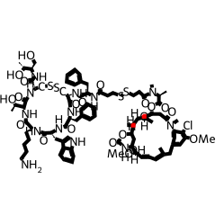 COc1cc2cc(c1Cl)N(C)C(=O)CC1(OC(=O)[C@H](C)N(C)C(=O)CCSSCCC(=O)N[C@H](Cc3ccccc3)C(=O)N[C@H]3CSSC[C@@H](C(=O)N[C@H](CO)[C@@H](C)O)NC(=O)[C@H]([C@@H](C)O)NC(=O)[C@H](CCCCCN)NC(=O)[C@@H](Cc4c[nH]c5ccccc45)NC(=O)[C@H](Cc4ccccc4)NC3=O)O[C@@H]([C@H](C)[C@@H]3C[C@@](O)(NC(=O)O3)[C@H](OC)/C=C/C=C(\C)C2)[C@@H]1C